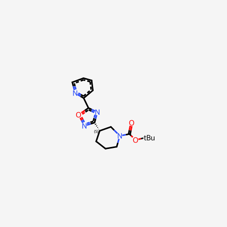 CC(C)(C)OC(=O)N1CCC[C@H](c2noc(-c3ccccn3)n2)C1